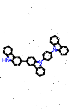 c1ccc2c(c1)[nH]c1ccc(-c3ccc4c(c3)c3ccccc3n4-c3ccc(-n4c5ccccc5c5ccccc54)cc3)cc12